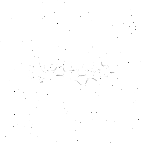 BC1(O)OC(O)(O)C(B)(B)N(C(O)(O)c2ccc(C(O)(O)Nc3cccc4c3C(O)(O)N(C3(O)CCC(=O)NC3=O)C4=O)c(F)c2)C1(O)O